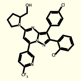 OCC1CCCN1c1cc(-c2ccc(C(F)(F)F)nc2)n2nc(-c3ccccc3Cl)c(-c3ccc(Cl)cc3)c2n1